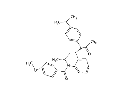 COc1ccc(C(=O)N2c3ccccc3C(N(C(C)=O)c3ccc(C(C)C)cc3)CC2C)cc1